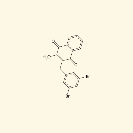 CC1=C(Cc2cc(Br)cc(Br)c2)C(=O)c2ccccc2C1=O